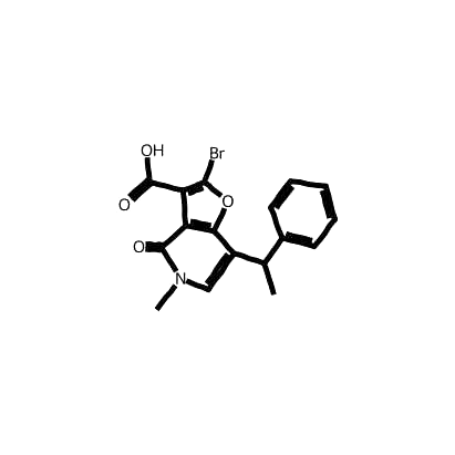 CC(c1ccccc1)c1cn(C)c(=O)c2c(C(=O)O)c(Br)oc12